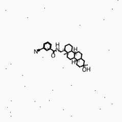 C[C@@]1(O)CC[C@H]2C(CC[C@@H]3C2CC[C@@]2(C)C3CCC[C@@H]2CNC(=O)c2cccc(C#N)c2)C1